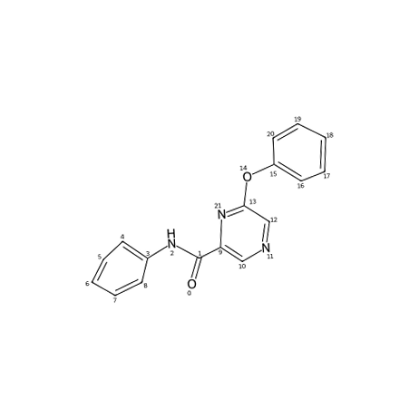 O=C(Nc1ccccc1)c1cncc(Oc2ccccc2)n1